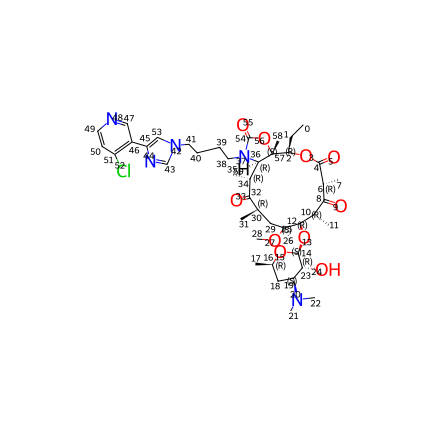 CC[C@H]1OC(=O)[C@H](C)C(=O)[C@H](C)[C@@H](O[C@@H]2O[C@H](C)C[C@H](N(C)C)[C@H]2O)[C@@](C)(OC)C[C@@H](C)C(=O)[C@H](C)[C@H]2N(CCCCn3cnc(-c4cnccc4Cl)c3)C(=O)O[C@]12C